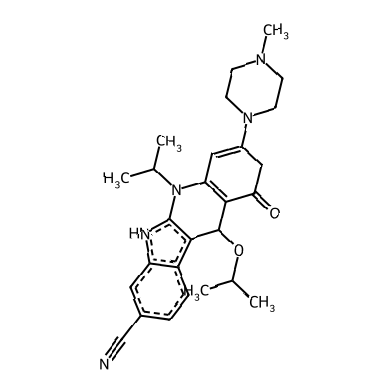 CC(C)OC1C2=C(C=C(N3CCN(C)CC3)CC2=O)N(C(C)C)c2[nH]c3cc(C#N)ccc3c21